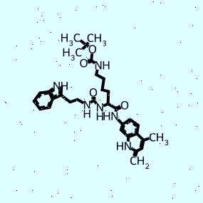 C=C1C=C(C)c2ccc(NC(=O)C(CCCCNC(=O)OC(C)(C)C)NC(=O)NCCc3c[nH]c4ccccc34)cc2N1